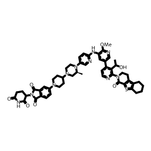 COc1ncc(-c2ccnc(N3CCc4c(sc5c4CCCC5)C3=O)c2C(C)O)cc1Nc1ccc(N2CCN(C3CCN(c4ccc5c(c4)C(=O)N(C4CCC(=O)NC4=O)C5=O)CC3)C[C@@H]2C)cn1